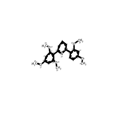 COc1ccc(-c2cccc(-c3c(OC)cc(OC)cc3OC)n2)c(OC)c1